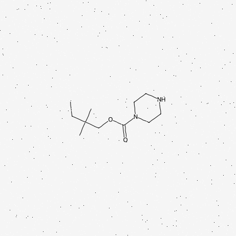 CCC(C)(C)COC(=O)N1CCNCC1